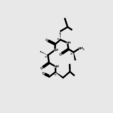 CC(C)C[C@@H]([C]=O)NC(=O)[C@H](C)NC(=O)[C@H](CC(C)C)NC(=O)[C@H](C)N